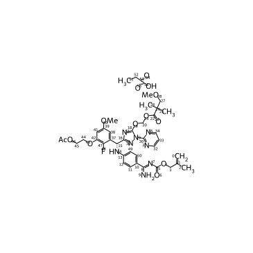 C=C(C)COC(=O)N=C(N)c1ccc(N[C@@H](c2nc(OCOC(=O)C(C)(C)COC)n(-c3ncccn3)n2)c2cc(OC)cc(OCCOC(C)=O)c2F)cc1.CCS(=O)(=O)O